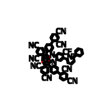 N#Cc1ccc(-c2ccc3c4ccc(-c5ccc(C#N)cc5C#N)cc4n(-c4cc(-c5cccc(-c6ccccc6)n5)c(C(F)(F)F)cc4-n4c5cc(-c6ccc(C#N)cc6C#N)ccc5c5ccc(-c6ccc(C#N)cc6C#N)cc54)c3c2)c(C#N)c1